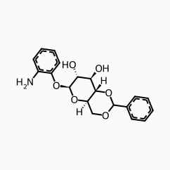 Nc1ccccc1O[C@@H]1O[C@@H]2COC(c3ccccc3)O[C@H]2[C@H](O)[C@H]1O